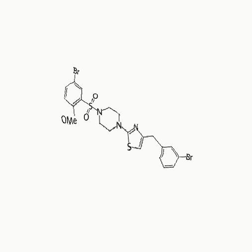 COc1ccc(Br)cc1S(=O)(=O)N1CCN(c2nc(Cc3cccc(Br)c3)cs2)CC1